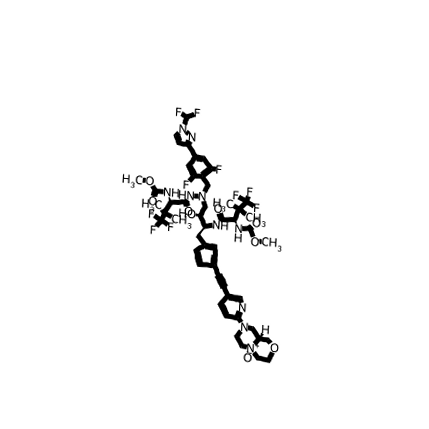 COC(=O)N[C@H](C(=O)N[C@@H](Cc1ccc(C#Cc2ccc(N3CC[N+]4([O-])CCOC[C@H]4C3)nc2)cc1)[C@@H](O)CN(Cc1c(F)cc(-c2ccn(C(F)F)n2)cc1F)NC(=O)[C@@H](NC(=O)OC)C(C)(C)C(F)(F)F)C(C)(C)C(F)(F)F